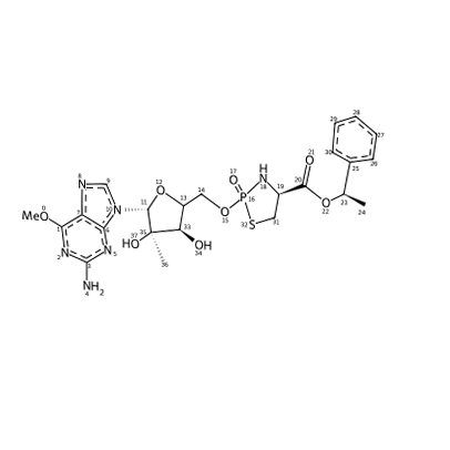 COc1nc(N)nc2c1ncn2[C@@H]1OC(COP2(=O)N[C@@H](C(=O)O[C@H](C)c3ccccc3)CS2)[C@@H](O)[C@@]1(C)O